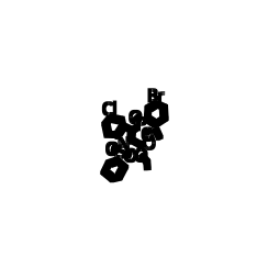 CCOC(=O)c1c(P(=O)(OCC)c2cccc(Br)c2)c2cc(Cl)ccc2n1S(=O)(=O)c1ccccc1